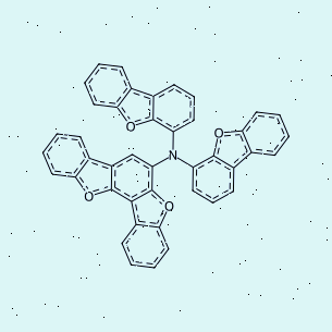 c1ccc2c(c1)oc1c(N(c3cccc4c3oc3ccccc34)c3cc4c5ccccc5oc4c4c3oc3ccccc34)cccc12